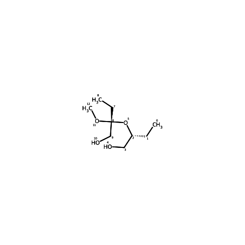 CC[C@H](CO)O[C@](CC)(CO)OC